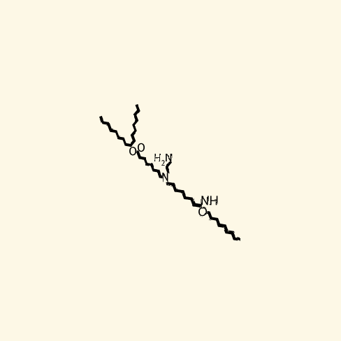 CCCCCCCCCOC(=N)CCCCCCCN(CCCN)CCCCCCCC(=O)OC(CCCCCCCC)CCCCCCCC